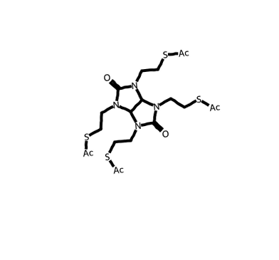 CC(=O)SCCN1C(=O)N(CCSC(C)=O)C2C1N(CCSC(C)=O)C(=O)N2CCSC(C)=O